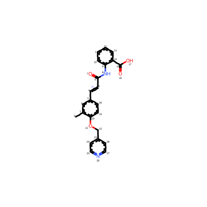 Cc1cc(/C=C/C(=O)Nc2ccccc2C(=O)O)ccc1OCc1ccncc1